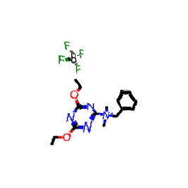 CCOc1nc(OCC)nc([N+](C)(C)Cc2ccccc2)n1.F[B-](F)(F)F